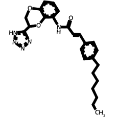 CCCCCCCc1ccc(C=CC(=O)Nc2cccc3c2OC(c2nnn[nH]2)CO3)cc1